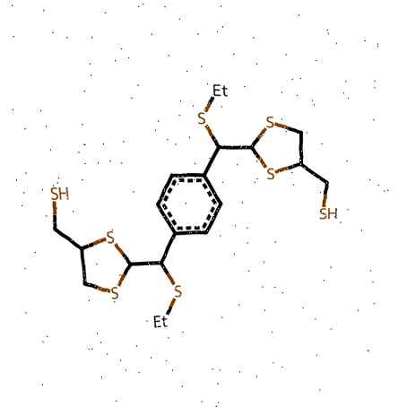 CCSC(c1ccc(C(SCC)C2SCC(CS)S2)cc1)C1SCC(CS)S1